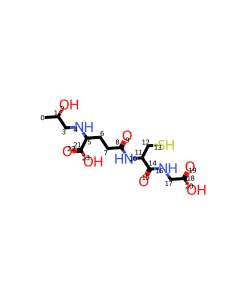 CC(O)CNC(CCC(=O)NC(CS)C(=O)NCC(=O)O)C(=O)O